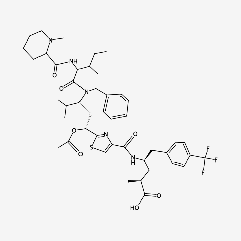 CCC(C)C(NC(=O)C1CCCCN1C)C(=O)N(Cc1ccccc1)[C@H](C[C@@H](OC(C)=O)c1nc(C(=O)N[C@@H](Cc2ccc(C(F)(F)F)cc2)C[C@H](C)C(=O)O)cs1)C(C)C